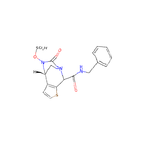 O=C(NCc1ccccc1)C1c2sccc2[C@H]2CN1C(=O)N2OS(=O)(=O)O